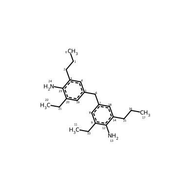 CCCc1cc(Cc2cc(CC)c(N)c(CCC)c2)cc(CC)c1N